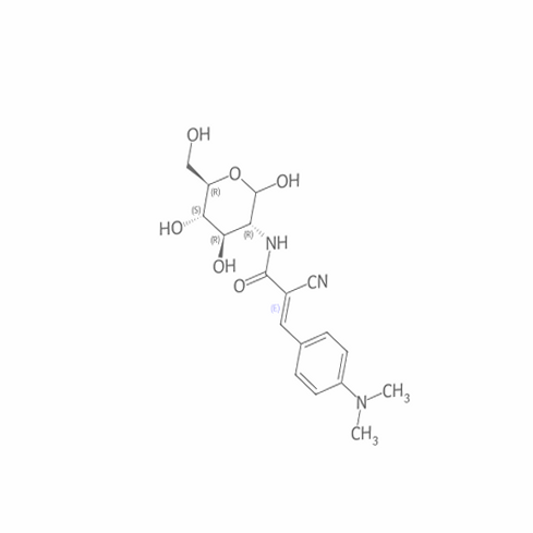 CN(C)c1ccc(/C=C(\C#N)C(=O)N[C@H]2C(O)O[C@H](CO)[C@@H](O)[C@@H]2O)cc1